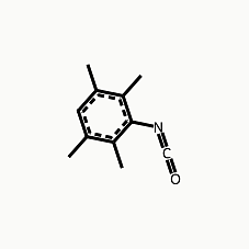 Cc1cc(C)c(C)c(N=C=O)c1C